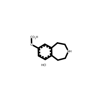 Cl.O=C(O)Oc1ccc2c(c1)CCNCC2